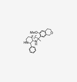 COc1cc2c(cc1C(C)(NC1CCCNC1c1ccccc1)C(F)(F)F)COCC2